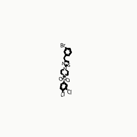 O=S(=O)(c1ccc(Cl)c(Cl)c1)N1CCN(c2nc(Cc3cccc(Br)c3)cs2)CC1